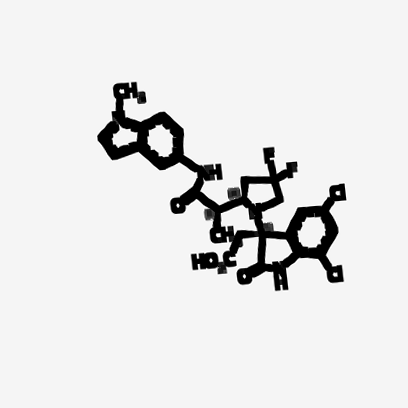 C[C@@H](C(=O)Nc1ccc2c(ccn2C)c1)[C@H]1CC(F)(F)CN1[C@@]1(CC(=O)O)C(=O)Nc2c(Cl)cc(Cl)cc21